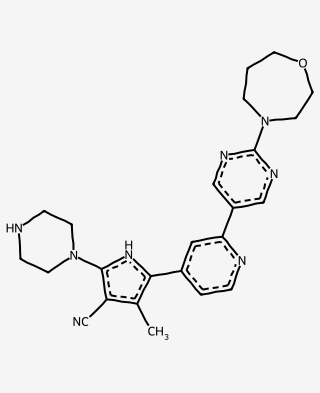 Cc1c(-c2ccnc(-c3cnc(N4CCCOCC4)nc3)c2)[nH]c(N2CCNCC2)c1C#N